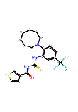 O=C(NC(=S)Nc1cc(C(F)(F)F)ccc1N1CCCCCCC1)c1ccsc1